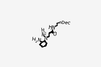 CCCCCCCCCCCCNC(=O)CCN(N)c1ccccc1N